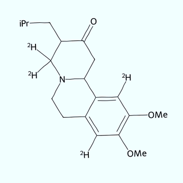 [2H]c1c2c(c([2H])c(OC)c1OC)C1CC(=O)C(CC(C)C)C([2H])([2H])N1CC2